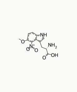 COc1ccc2[nH]cc(C[C@H](N)C(=O)O)c2c1[N+](=O)[O-]